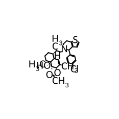 CC(=O)O[C@@H]1[CH][C@@]2(O)[C@H](C)CC[C@@H](C(C)CN3CCc4sccc4C3c3ccc(Cl)cc3)[C@H]2C=C1C